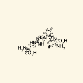 CC(C)C[C@H](N)C(=O)O.Cc1ccc(N=C=O)cc1.Cc1cnco1.N=C(N)NCCC[C@H](N)C(=O)O